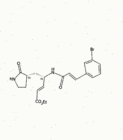 CCOC(=O)C=C[C@H](C[C@@H]1CCNC1=O)NC(=O)C=Cc1cccc(Br)c1